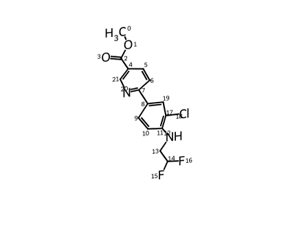 COC(=O)c1ccc(-c2ccc(NCC(F)F)c(Cl)c2)nc1